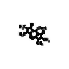 CCCCCC(N1C(=O)C(C)=C(C)C1=O)N1C(=O)C(C)=C(C)C1=O